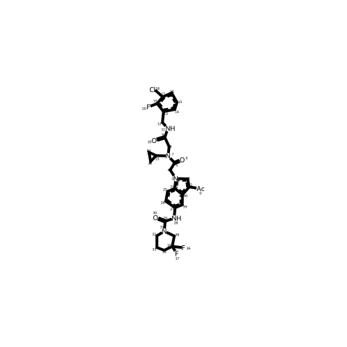 CC(=O)c1cn(CC(=O)N(CC(=O)NCc2cccc(Cl)c2F)C2CC2)c2ccc(NC(=O)N3CCCC(F)(F)C3)cc12